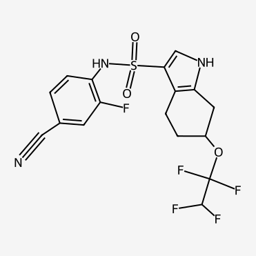 N#Cc1ccc(NS(=O)(=O)c2c[nH]c3c2CCC(OC(F)(F)C(F)F)C3)c(F)c1